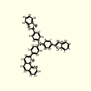 c1ccc2sc(-c3ccc(N(c4ccc(-c5ccc6ccc7cccnc7c6n5)cc4)c4ccc(-c5nc6ccccc6s5)cc4)cc3)cc2c1